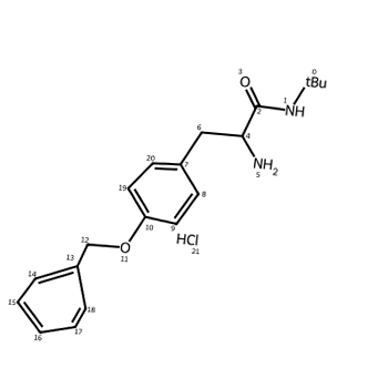 CC(C)(C)NC(=O)C(N)Cc1ccc(OCc2ccccc2)cc1.Cl